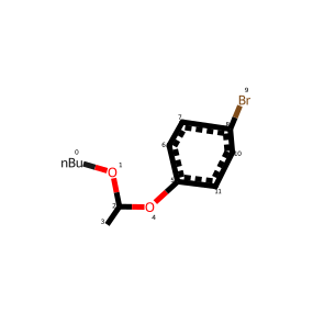 CCCCOC(C)Oc1ccc(Br)cc1